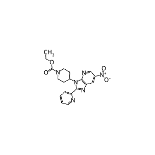 CCOC(=O)N1CCC(n2c(-c3ccccn3)nc3cc([N+](=O)[O-])cnc32)CC1